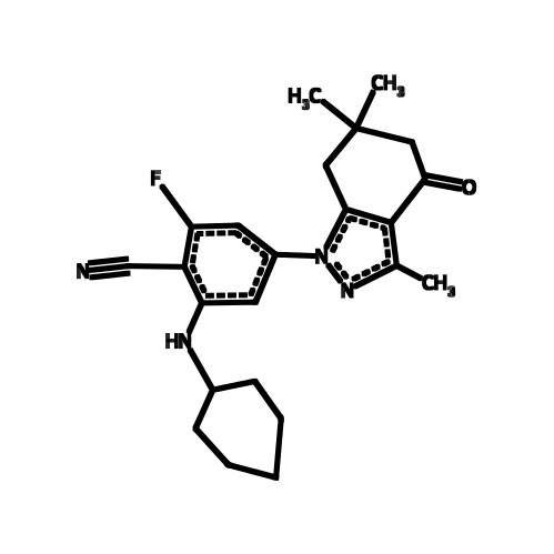 Cc1nn(-c2cc(F)c(C#N)c(NC3CCCCC3)c2)c2c1C(=O)CC(C)(C)C2